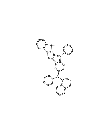 CC1(C)c2ccccc2-n2cc3c4cc(N(c5ccccc5)c5cccc6ccccc56)ccc4n(-c4ccccc4)c3c21